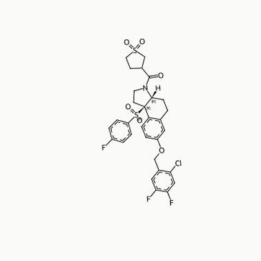 O=C(C1CCS(=O)(=O)C1)N1CC[C@@]2(S(=O)(=O)c3ccc(F)cc3)c3ccc(OCc4cc(F)c(F)cc4Cl)cc3CC[C@@H]12